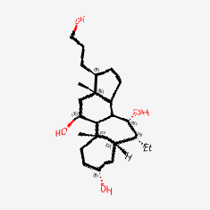 CC[C@H]1[C@@H](O)C2C3CC[C@H](CCCO)[C@@]3(C)C[C@H](O)C2[C@@]2(C)CC[C@@H](O)C[C@@H]12